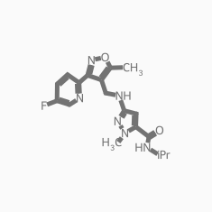 Cc1onc(-c2ccc(F)cn2)c1CNc1cc(C(=O)NC(C)C)n(C)n1